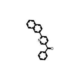 O=C(c1ccccc1)c1ccc(-c2ccc3ccccc3c2)nc1